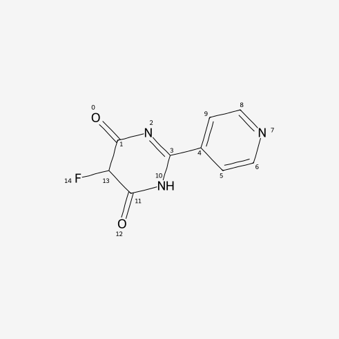 O=C1N=C(c2ccncc2)NC(=O)C1F